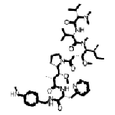 CC[C@H](C)[C@@H]([C@@H](CC(=O)N1CCC[C@H]1[C@H](OC)[C@@H](C)C(=O)N[C@H](Cc1ccccn1)C(=O)NCc1ccc(NC)cc1)OC)N(C)C(=O)[C@@H](NC(=O)[C@H](C(C)C)N(C)C)C(C)C